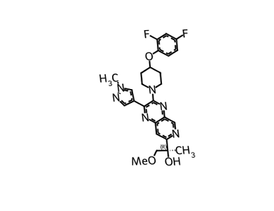 COC[C@](C)(O)c1cc2nc(-c3cnn(C)c3)c(N3CCC(Oc4ccc(F)cc4F)CC3)nc2cn1